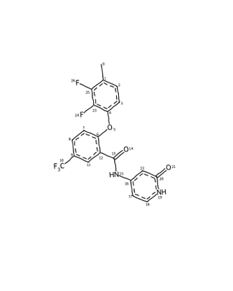 Cc1ccc(Oc2ccc(C(F)(F)F)cc2C(=O)Nc2cc[nH]c(=O)c2)c(F)c1F